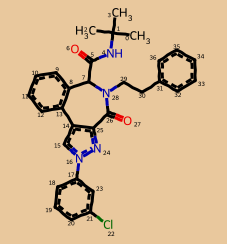 CC(C)(C)NC(=O)C1c2ccccc2-c2cn(-c3cccc(Cl)c3)nc2C(=O)N1CCc1ccccc1